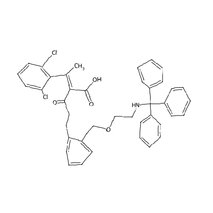 CC(=C(C(=O)O)C(=O)CCc1ccccc1COCCNC(c1ccccc1)(c1ccccc1)c1ccccc1)c1c(Cl)cccc1Cl